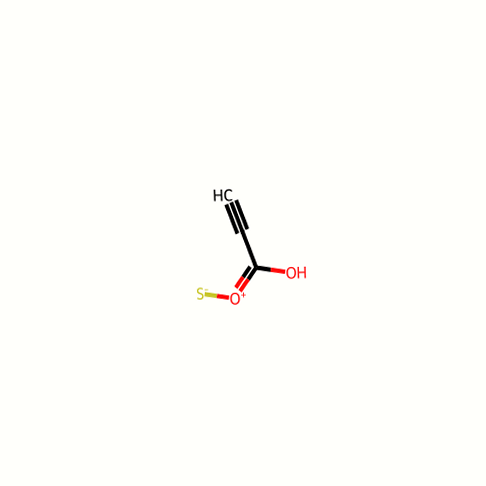 C#CC(O)=[O+][S-]